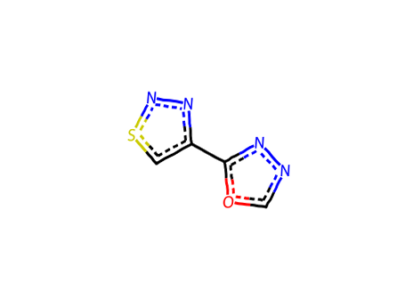 c1nnc(-c2csnn2)o1